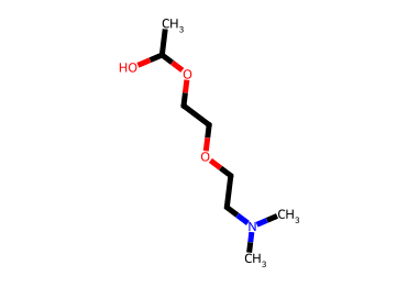 CC(O)OCCOCCN(C)C